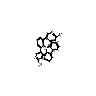 N#Cc1ccc(-c2cccc(-c3ccc(C#N)nc3)c2-n2c3ccccc3c3ccccc32)cn1